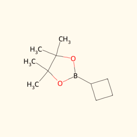 CC1(C)OB(C2CCC2)OC1(C)C